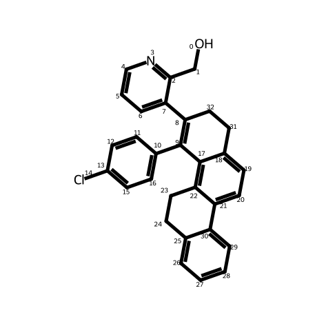 OCc1ncccc1C1=C(c2ccc(Cl)cc2)c2c(ccc3c2CCc2ccccc2-3)CC1